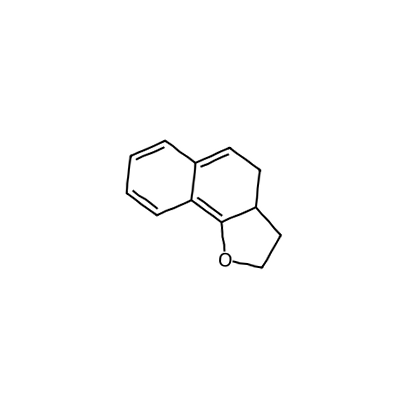 C1=c2ccccc2=C2OCCC2C1